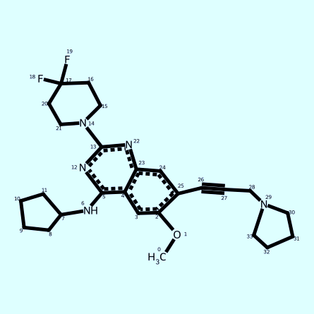 COc1cc2c(NC3CCCC3)nc(N3CCC(F)(F)CC3)nc2cc1C#CCN1CCCC1